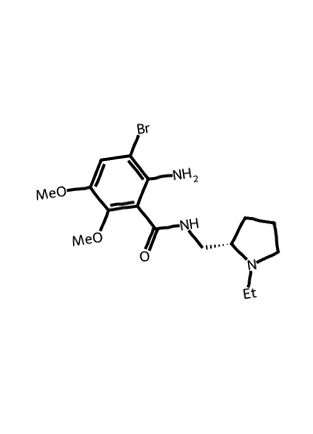 CCN1CCC[C@H]1CNC(=O)c1c(N)c(Br)cc(OC)c1OC